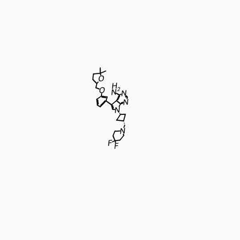 CC1(C)CCC(COc2cccc(-c3cn([C@H]4C[C@@H](CN5CCC(F)(F)CC5)C4)c4ncnc(N)c34)c2)O1